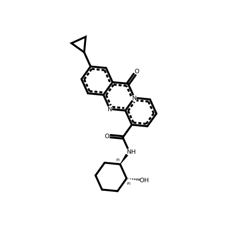 O=C(N[C@@H]1CCCC[C@H]1O)c1cccn2c(=O)c3cc(C4CC4)ccc3nc12